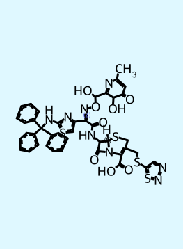 CC1=CC(=O)C(O)C(C(O)O/N=C(\C(=O)NC2C(=O)N3C(C(=O)O)=C(CSc4cnns4)CS[C@@H]23)c2csc(NC(c3ccccc3)(c3ccccc3)c3ccccc3)n2)=N1